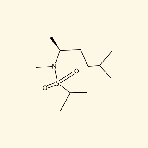 CC(C)CC[C@H](C)N(C)S(=O)(=O)C(C)C